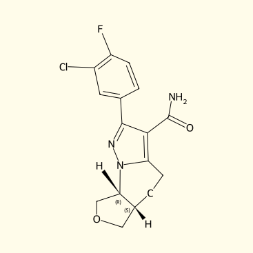 NC(=O)c1c(-c2ccc(F)c(Cl)c2)nn2c1CC[C@@H]1COC[C@@H]12